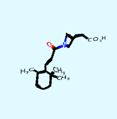 CC1=C(C=CC(=O)N2CC(CC(=O)O)C2)C(C)(C)CCC1